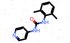 Cc1cccc(C)c1NC(=O)Nc1ccncc1